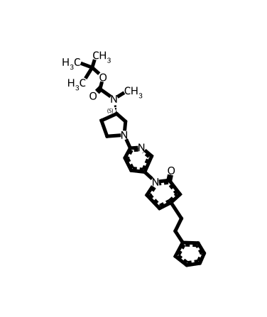 CN(C(=O)OC(C)(C)C)[C@H]1CCN(c2ccc(-n3ccc(CCc4ccccc4)cc3=O)cn2)C1